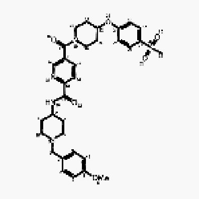 COc1ccc(CN2CCC(NC(=O)c3ccc(C(=O)N4CCC(Oc5ccc(S(C)(=O)=O)cc5)CC4)cn3)CC2)cc1